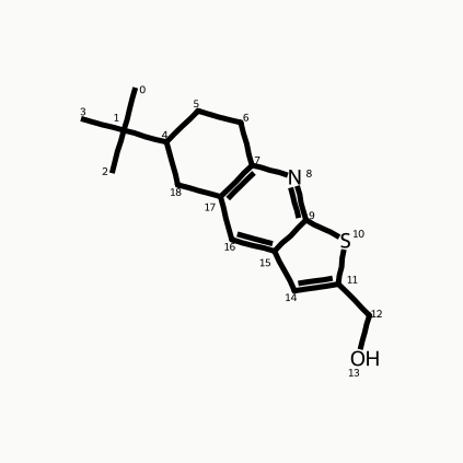 CC(C)(C)C1CCc2nc3sc(CO)cc3cc2C1